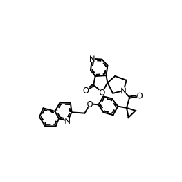 O=C1OC2(CCN(C(=O)C3(c4ccc(OCc5ccc6ccccc6n5)cc4)CC3)C2)c2ccncc21